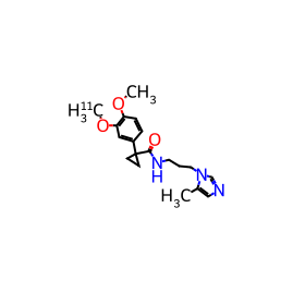 COc1ccc(C2(C(=O)NCCCn3cncc3C)CC2)cc1O[11CH3]